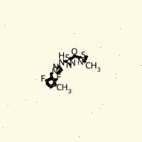 Cc1csc(C(=O)c2nnc(Nc3ccn(Cc4c(F)ccc(C)c4F)n3)s2)n1